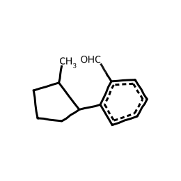 CC1CCCC1c1ccccc1C=O